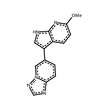 COc1ccc2c(-c3ccc4ncnn4c3)c[nH]c2n1